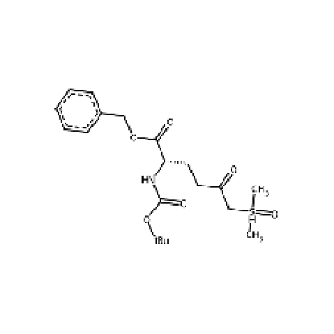 CC(C)(C)OC(=O)N[C@@H](CCC(=O)C[SH](C)(C)=O)C(=O)OCc1ccccc1